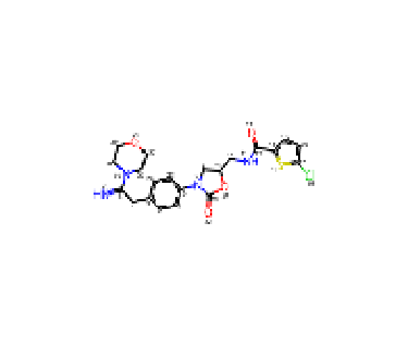 N=C(Cc1ccc(N2CC(CNC(=O)c3ccc(Cl)s3)OC2=O)cc1)N1CCOCC1